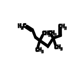 C=CCC(C)(C)[CH]C(C)(C)C=C